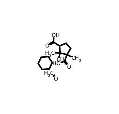 C1CCCCC1.C=O.CC1(C(=O)O)CCC(C(=O)O)C1(C)C